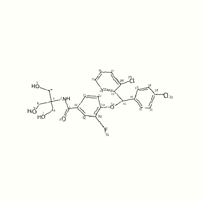 O=C(NC(CO)(CO)CO)c1ccc(OC(c2ccc(Cl)cc2)c2ccccc2Cl)c(F)c1